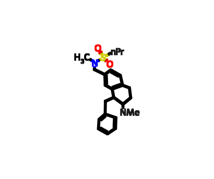 CCCS(=O)(=O)N(C)Cc1ccc2c(c1)C(Cc1ccccc1)C(NC)CC2